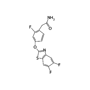 NC(=O)Cc1ccc(Oc2nc3cc(F)c(F)cc3s2)cc1F